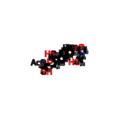 CC(=O)O[C@@H]([C@H]1C[C@@H](C)C2[C@H](O1)[C@H](O)[C@@]1(C)[C@@H]3CC[C@H]4C(C)(C)[C@@H](O[C@H]5CN(CC(C)(C)O)CCO5)CC[C@@]45C[C@@]35CC[C@]21C)C(C)(C)O